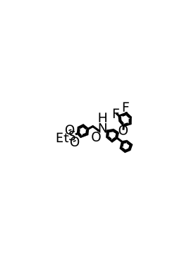 CCS(=O)(=O)c1ccc(CC(=O)Nc2ccc(-c3ccccc3)c(Oc3ccc(F)c(F)c3)c2)cc1